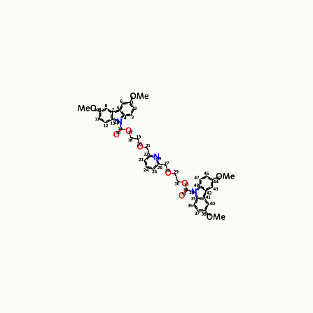 COc1ccc2c(c1)c1cc(OC)ccc1n2C(=O)OCCOCc1cccc(COCCOC(=O)n2c3ccc(OC)cc3c3cc(OC)ccc32)n1